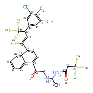 C[C@@H](NCC(=O)c1ccc(/C(F)=C/C(c2cc(Cl)c(Cl)c(Cl)c2)C(F)(F)F)c2ccccc12)NC(=O)CC(F)(F)F